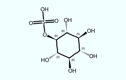 O=S(=O)(O)O[C@H]1[C@H](O)[C@@H](O)[C@H](O)[C@@H](O)[C@@H]1O